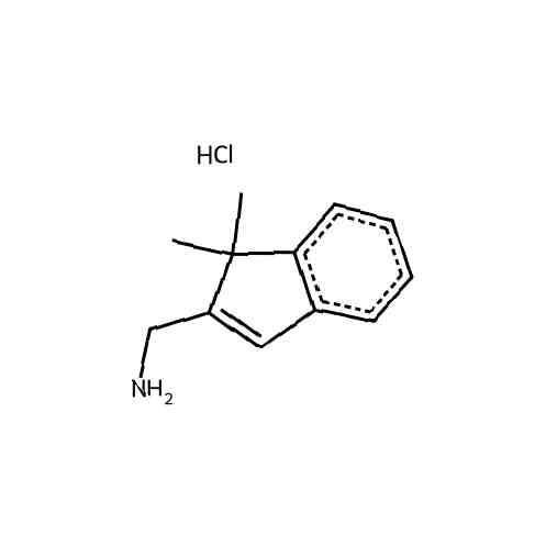 CC1(C)C(CN)=Cc2ccccc21.Cl